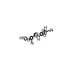 COc1cc(Nc2nccc(-c3ccc(OC4CCNCC4)c(C#N)c3)n2)ccc1S(=O)(=O)NCCCN(C)C